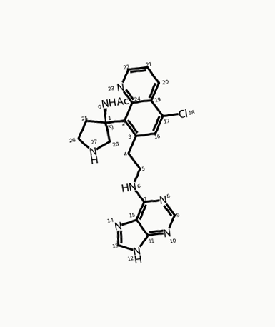 CC(=O)N[C@]1(c2c(CCNc3ncnc4[nH]cnc34)cc(Cl)c3cccnc23)CCNC1